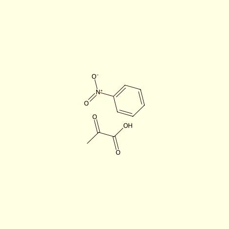 CC(=O)C(=O)O.O=[N+]([O-])c1ccccc1